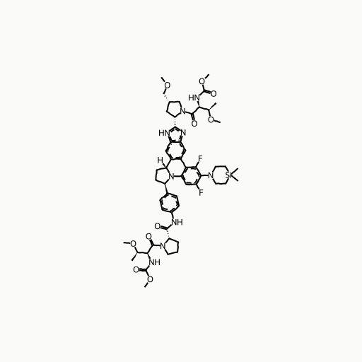 COC[C@H]1C[C@@H](c2nc3cc4c(cc3[nH]2)[C@H]2CC[C@H](c3ccc(NC(=O)[C@@H]5CCCN5C(=O)[C@@H](NC(=O)OC)[C@@H](C)OC)cc3)N2c2cc(F)c(N3CC[Si](C)(C)CC3)c(F)c2-4)N(C(=O)[C@@H](NC(=O)OC)[C@@H](C)OC)C1